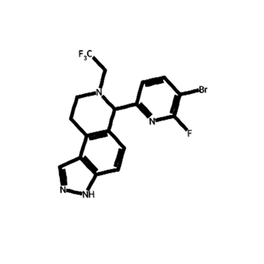 Fc1nc(C2c3ccc4[nH]ncc4c3CCN2CC(F)(F)F)ccc1Br